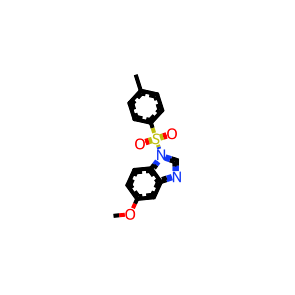 COc1ccc2c(c1)ncn2S(=O)(=O)c1ccc(C)cc1